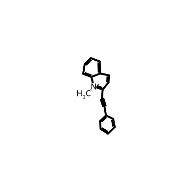 C[n+]1c(C#Cc2ccccc2)ccc2ccccc21